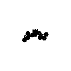 c1ccc(-c2cccc3c2sc2c(-c4cccc(-c5ncnc6c5oc5ccc(-n7c8ccccc8c8c9sc%10ccccc%10c9ccc87)cc56)c4)cccc23)cc1